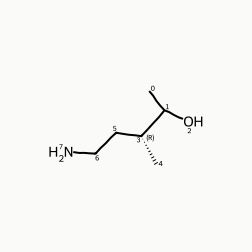 CC(O)[C@H](C)CCN